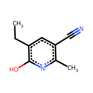 CCc1cc(C#N)c(C)nc1O